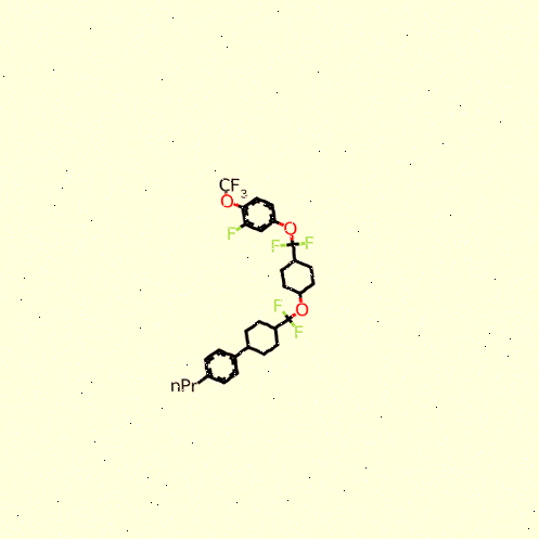 CCCc1ccc(C2CCC(C(F)(F)OC3CCC(C(F)(F)Oc4ccc(OC(F)(F)F)c(F)c4)CC3)CC2)cc1